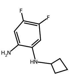 Nc1cc(F)c(F)cc1NC1CCC1